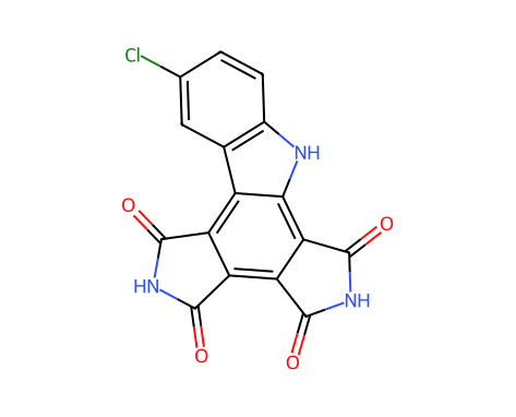 O=c1[nH]c(=O)c2c1c1[nH]c3ccc(Cl)cc3c1c1c(=O)[nH]c(=O)c21